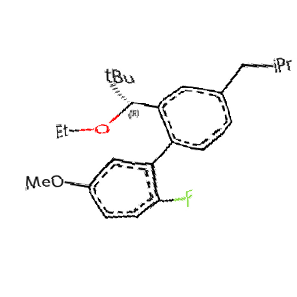 CCO[C@@H](c1cc(CC(C)C)ccc1-c1cc(OC)ccc1F)C(C)(C)C